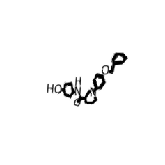 O=C(NC1CCC(O)CC1)C1CCCN(c2ccc(OCc3ccccc3)cc2)C1